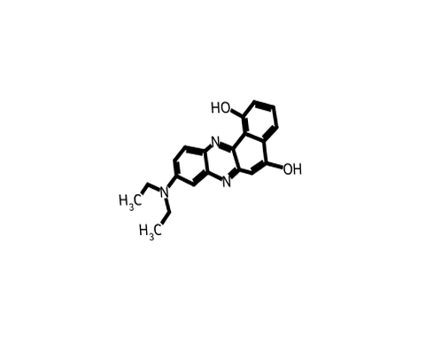 CCN(CC)c1ccc2nc3c(cc(O)c4cccc(O)c43)nc2c1